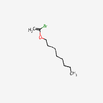 C=C(Br)OCCCCCCCC